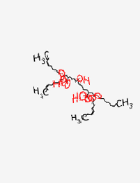 CC/C=C\CCCCOC(CC(CCCCC(O)CCCCC(CC(OCCCC/C=C\CC)OCCCC/C=C\CC)C(=O)O)C(=O)O)OCCCC/C=C\CC